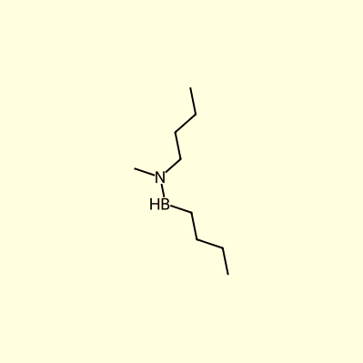 CCCCBN(C)CCCC